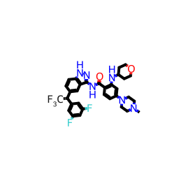 CN1CCN(c2ccc(C(=O)Nc3n[nH]c4ccc(C(c5cc(F)cc(F)c5)C(F)(F)F)cc34)c(NC3CCOCC3)c2)CC1